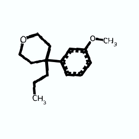 CCCC1(c2cccc(OC)c2)CCOCC1